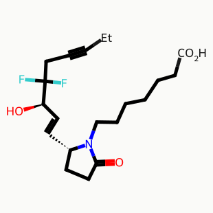 CCC#CCC(F)(F)[C@H](O)/C=C/[C@H]1CCC(=O)N1CCCCCCC(=O)O